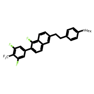 CCCCCCc1ccc(CCc2ccc3c(F)c(-c4cc(F)c(C(F)(F)F)c(F)c4)ccc3c2)cc1